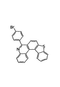 Brc1ccc(-c2nc3ccccc3c3c2ccc2sc4ccccc4c23)cc1